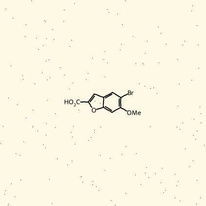 COc1cc2oc(C(=O)O)cc2cc1Br